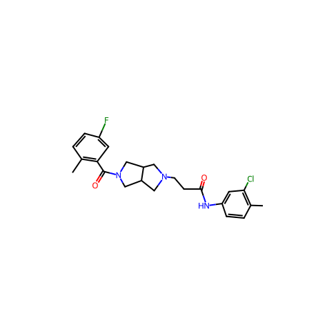 Cc1ccc(NC(=O)CCN2CC3CN(C(=O)c4cc(F)ccc4C)CC3C2)cc1Cl